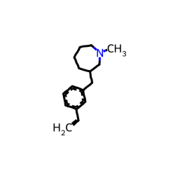 C=Cc1cccc(CC2CCCCN(C)C2)c1